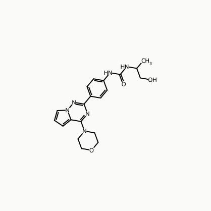 CC(CO)NC(=O)Nc1ccc(-c2nc(N3CCOCC3)c3cccn3n2)cc1